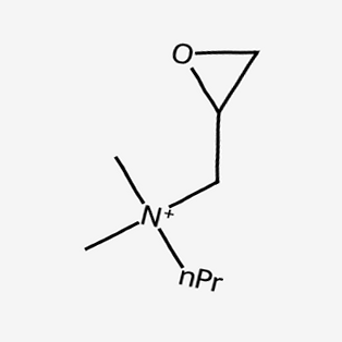 CCC[N+](C)(C)CC1CO1